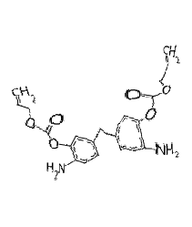 C=CCOC(=O)Oc1cc(Cc2ccc(N)c(OC(=O)OCC=C)c2)ccc1N